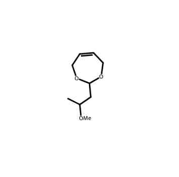 COC(C)CC1OCC=CCO1